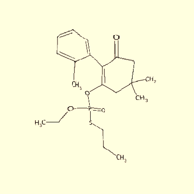 CCCSP(=O)(OCC)OC1=C(c2ccccc2C)C(=O)CC(C)(C)C1